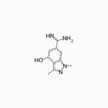 Cc1nn(C)c2cc(C(=N)N)cc(O)c12